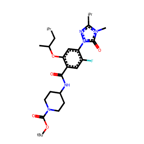 CC(C)CC(C)Oc1cc(-n2nc(C(C)C)n(C)c2=O)c(F)cc1C(=O)NC1CCN(C(=O)OC(C)(C)C)CC1